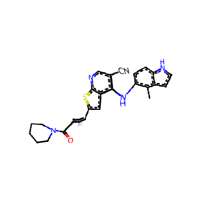 Cc1c(Nc2c(C#N)cnc3sc(/C=C/C(=O)N4CCCCC4)cc23)ccc2[nH]ccc12